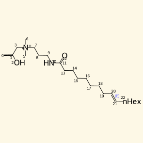 C=C(O)C[N+](C)(C)CCCNC(=O)CCCCCCC/C=C/CCCCCC